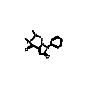 CN(C)N(C)C(=O)c1cc(=O)n(-c2ccccc2)[nH]1